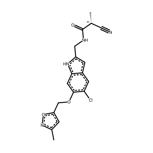 Cc1cc(COc2cc3[nH]c(CNC(=O)[C@H](C)C#N)cc3cc2Cl)on1